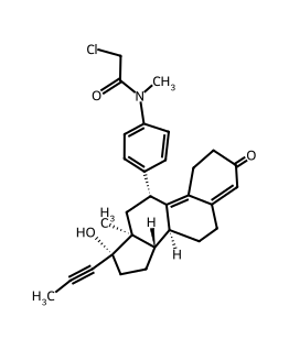 CC#C[C@]1(O)CC[C@H]2[C@@H]3CCC4=CC(=O)CCC4=C3[C@@H](c3ccc(N(C)C(=O)CCl)cc3)C[C@@]21C